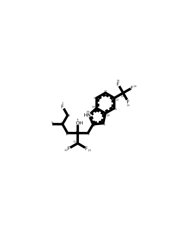 CC(CF)CC(O)(Cc1cc2cc(C(F)(F)F)ccc2[nH]1)C(F)F